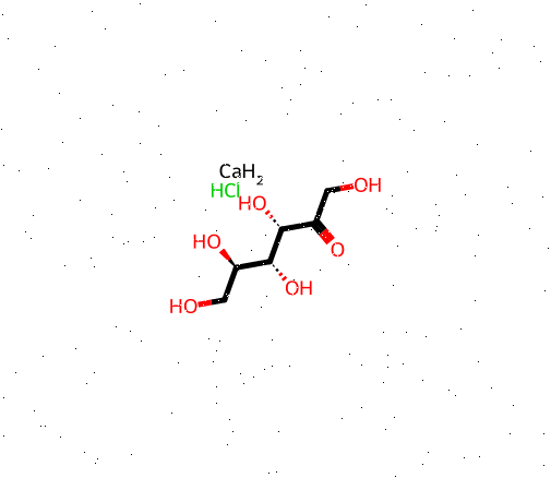 Cl.O=C(CO)[C@@H](O)[C@H](O)[C@H](O)CO.[CaH2]